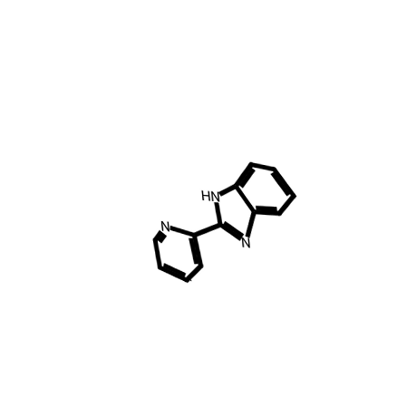 [c]1ccnc(-c2nc3ccccc3[nH]2)c1